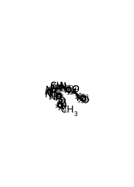 Cc1cccc(Oc2ccc(-c3c(-c4cnn(C5CCN(C(=O)/C=C/CN6CCOCC6)CC5)c4)n(C)c4ncnc(N)c34)cc2)n1